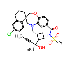 CC#C[C@@](O)(CCCC)[C@@H]1CC[C@H]1CN1C[C@@]2(CCCc3cc(Cl)ccc32)COc2ccc(C(=O)NS(=O)(=O)C(C)C)cc21